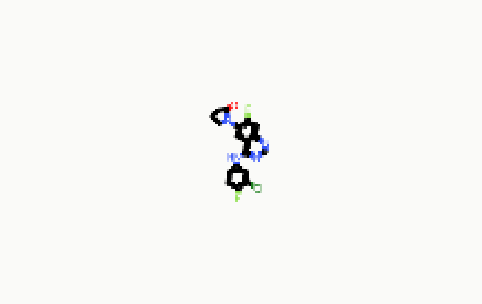 O=C1CCCN1c1cc2c(Nc3ccc(F)c(Cl)c3)ncnc2cc1F